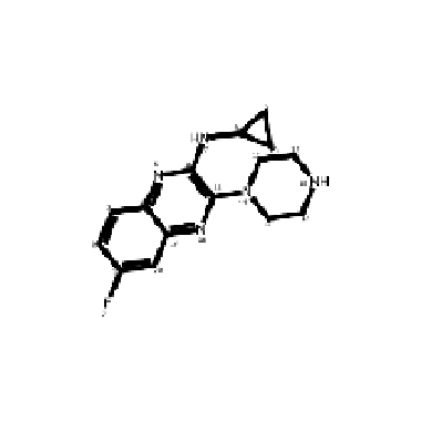 Fc1ccc2nc(NC3CC3)c(N3CCNCC3)nc2c1